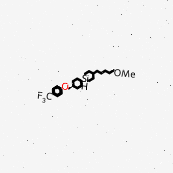 COCCCCCC1CC[SiH]([C@H]2CC[C@H](COc3ccc(C(F)(F)F)cc3)CC2)CC1